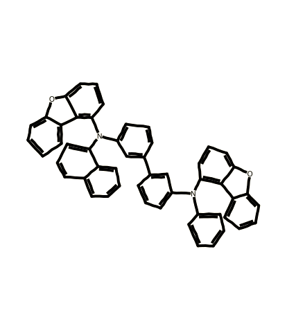 c1ccc(N(c2cccc(-c3cccc(N(c4cccc5ccccc45)c4cccc5oc6ccccc6c45)c3)c2)c2cccc3oc4ccccc4c23)cc1